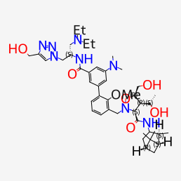 CCN(CC)C[C@@H](Cn1cc(CO)nn1)NC(=O)c1cc(-c2cccc(CN3O[C@@H](CO)[C@@H]([C@H](C)O)[C@H]3C(=O)NC3C[C@H]4C[C@@H]([C@@H]3C)C4(C)C)c2OC)cc(N(C)C)c1